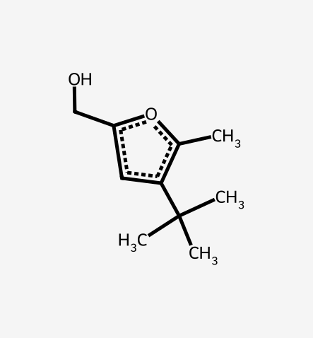 Cc1oc(CO)cc1C(C)(C)C